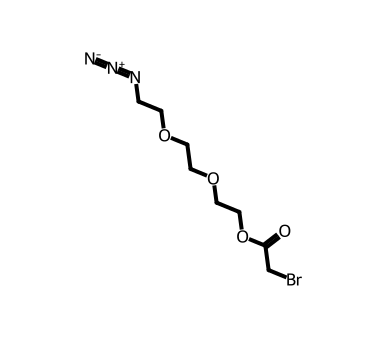 [N-]=[N+]=NCCOCCOCCOC(=O)CBr